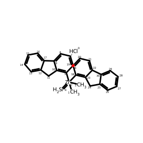 Cl.[CH3][Zr]([CH3])(=[SiH2])([c]1cccc2c1Cc1ccccc1-2)[c]1cccc2c1Cc1ccccc1-2